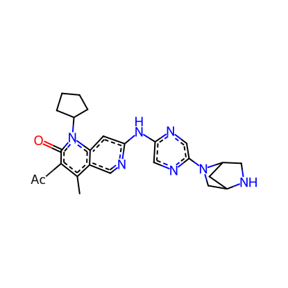 CC(=O)c1c(C)c2cnc(Nc3cnc(N4CC5CC4CN5)cn3)cc2n(C2CCCC2)c1=O